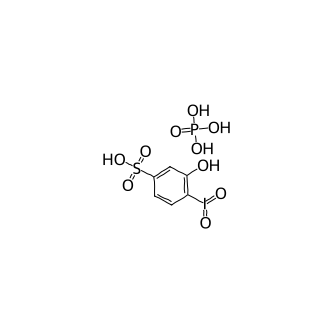 O=I(=O)c1ccc(S(=O)(=O)O)cc1O.O=P(O)(O)O